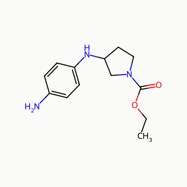 CCOC(=O)N1CCC(Nc2ccc(N)cc2)C1